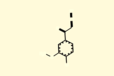 COc1cc(C(=O)C=[N+]=[N-])ccc1Cl